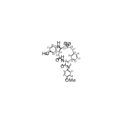 COc1ccc(N(C)C(=O)[C@@H]2Cc3cccc(c3)CCS(=O)(=O)Cc3[nH]c4ccc(O)cc4c3CC(=O)N2)cc1